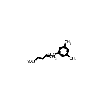 C=CCCCCCCCCCC.Cc1cc(C)cc(C)c1